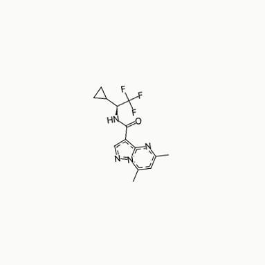 Cc1cc(C)n2ncc(C(=O)N[C@@H](C3CC3)C(F)(F)F)c2n1